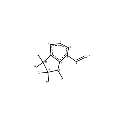 CC1c2c(C=O)cccc2C(C)(C)C1(C)C